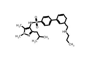 CCCNCC1C=C(c2ccc(S(=O)(=O)Nc3c(CC(C)C)nn(C)c3C)cc2)C=CC1